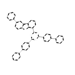 c1ccc(-c2ccc(-c3nc(-c4ccc(-c5ccccc5)cc4)nc(-c4cccc5c4sc4ccc(-c6ccccc6)cc45)n3)cc2)cc1